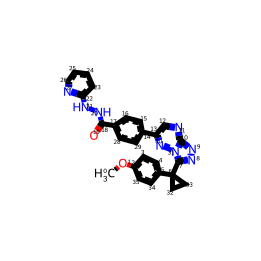 COc1ccc(C2(c3nnc4ncc(-c5ccc(C(=O)NNc6ccccn6)cc5)nn34)CC2)cc1